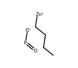 CCC[CH2][Zn+].O=P[O-]